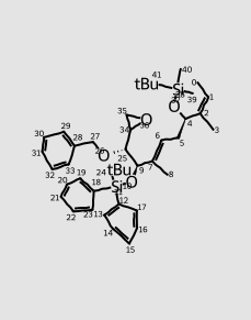 C/C=C(/C)[C@@H](C/C=C(\C)[C@@H](O[Si](c1ccccc1)(c1ccccc1)C(C)(C)C)[C@H](OCc1ccccc1)C1CO1)O[Si](C)(C)C(C)(C)C